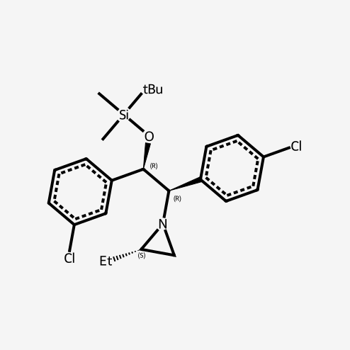 CC[C@H]1CN1[C@H](c1ccc(Cl)cc1)[C@H](O[Si](C)(C)C(C)(C)C)c1cccc(Cl)c1